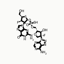 Nc1nc2c(ncn2[C@]2(OP(=O)(S)OC[C@H]3OC[C@](F)(n4nnc5c(N)ncnc54)[C@@H]3O)CS[C@H](CO)[C@@H]2F)c(=O)[nH]1